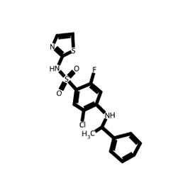 CC(Nc1cc(F)c(S(=O)(=O)Nc2nccs2)cc1Cl)c1ccccc1